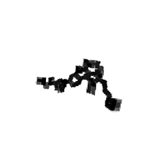 Cc1cnn(-c2ccc3c(c2)nc(N)c2nc(CCCO)[nH]c23)c1